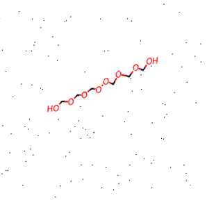 OCOCOCOOCOCOCO